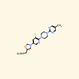 CC(=O)NCC1CN(c2cnc(N3CCN(c4ncc(C)cn4)CC3)c(F)c2)CO1